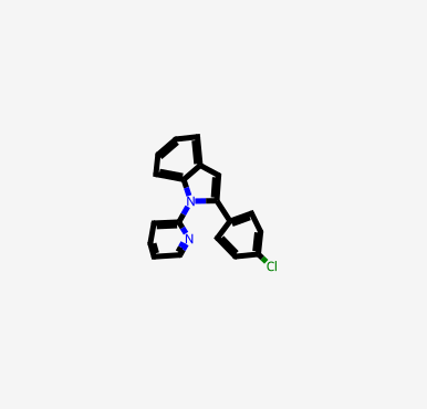 Clc1ccc(-c2cc3ccccc3n2-c2ccccn2)cc1